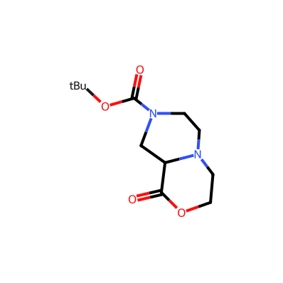 CC(C)(C)OC(=O)N1CCN2CCOC(=O)C2C1